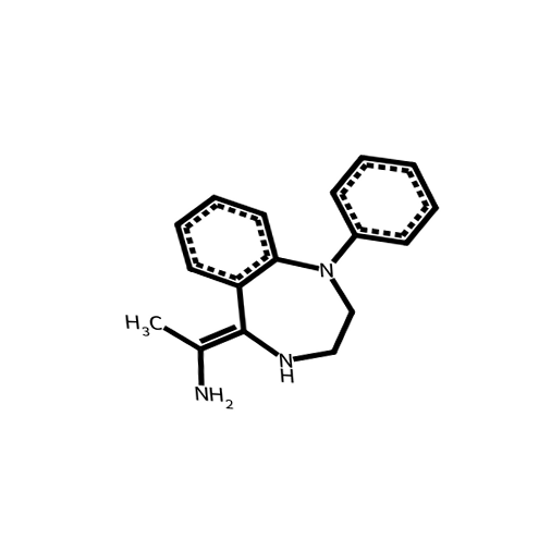 C/C(N)=C1/NCCN(c2ccccc2)c2ccccc21